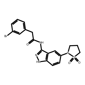 O=C(Cc1cccc(Br)c1)Nc1n[nH]c2ccc(N3CCCS3(=O)=O)cc12